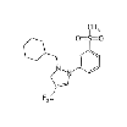 CS(=O)(=O)c1cccc(N2C=C(C(F)(F)F)CN2CC2CCCCC2)c1